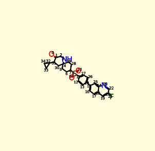 O=C1CNC2(CCC(S(=O)(=O)c3ccc(-c4ccc5cc(F)cnc5c4)cc3)CC2)CC1C1CC1